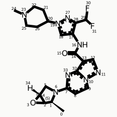 C[C@H]1C2O[C@@H]2CN1c1ccn2ncc(C(=O)Nc3cn(C4CCN(C)CC4)nc3C(F)F)c2n1